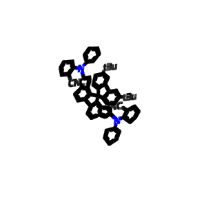 CC(C)(C)c1ccc2c(c1)-c1cc(C(C)(C)C)ccc1C21c2c(ccc3cc(N(c4ccccc4)c4ccccc4C#N)ccc23)-c2ccc3cc(N(c4ccccc4)c4ccccc4C#N)ccc3c21